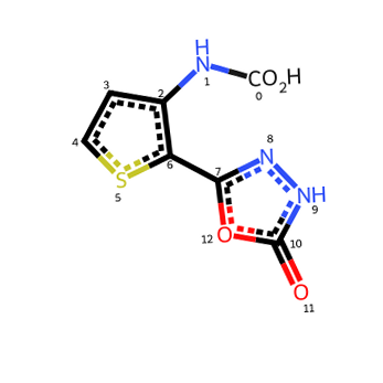 O=C(O)Nc1ccsc1-c1n[nH]c(=O)o1